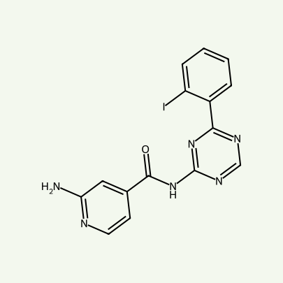 Nc1cc(C(=O)Nc2ncnc(-c3ccccc3I)n2)ccn1